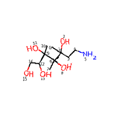 CC(O)(CCN)C(C)(O)C(C)(O)C(O)CO